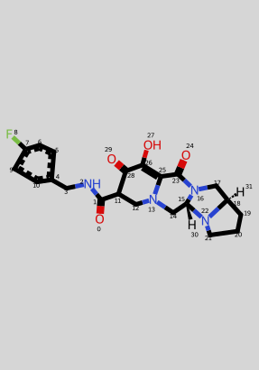 O=C(NCc1ccc(F)cc1)C1CN2C[C@@H]3N(C[C@H]4CCCN43)C(=O)C2=C(O)C1=O